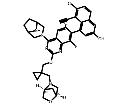 C#Cc1c(Cl)ccc2cc(O)cc(-c3c(Cl)cc4c(N5CC6CCC(C5)N6)nc(OCC5(CN6C[C@@H]7C[C@H]6CO7)CC5)nc4c3F)c12